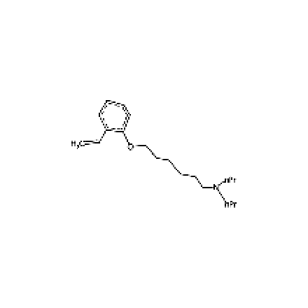 C=Cc1ccccc1OCCCCCCN(CCC)CCC